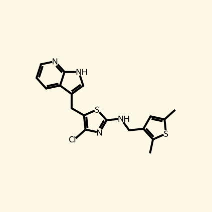 Cc1cc(CNc2nc(Cl)c(Cc3c[nH]c4ncccc34)s2)c(C)s1